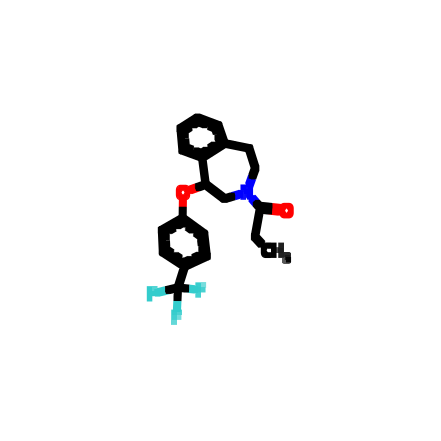 CCC(=O)N1CCc2ccccc2C(Oc2ccc(C(F)(F)F)cc2)C1